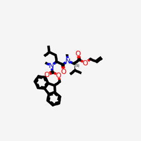 C=CCOC(=O)[C@H](C(C)C)N(C)C(=O)C(CC(C)C)N(C)C(=O)OCC1c2ccccc2-c2ccccc21